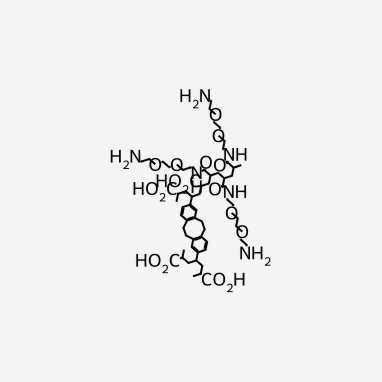 CC(CC(CC(C)C(=O)O)c1ccc2c(c1)CCc1ccc(C(CC(C)C(=O)O)CC(CC(CC(CC(C)C(=O)NCCOCCOCCN)C(=O)NCCOCCOCCN)C(=O)NCCOCCOCCN)C(=O)O)cc1CC2)C(=O)O